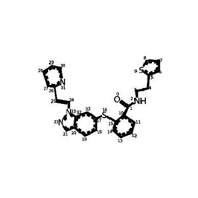 O=C(NCCc1cccs1)c1ccccc1Sc1ccc2cnn(C=Cc3ccccn3)c2c1